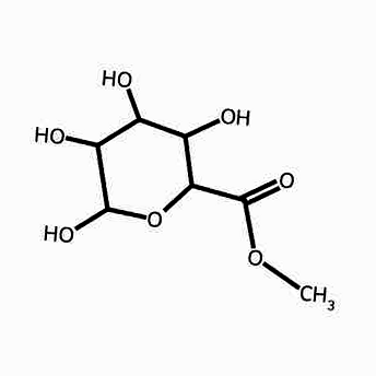 COC(=O)C1OC(O)C(O)C(O)C1O